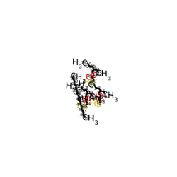 CCCCC(CC)COC(=O)CS.CCCCC(CC)COC(=O)CS.CCCCC(CC)COC(=O)CS.CCCCCCC[CH2][Sn][CH2]CCCCCCC